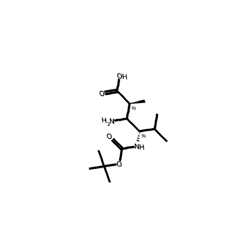 CC(C)[C@H](NC(=O)OC(C)(C)C)C(N)[C@H](C)C(=O)O